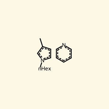 CCCCCCn1ccc(C)c1.c1ccncc1